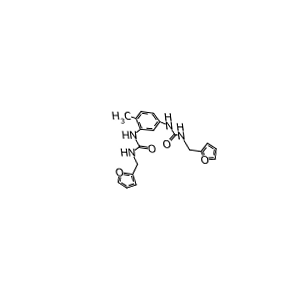 Cc1ccc(NC(=O)NCc2ccco2)cc1NC(=O)NCc1ccco1